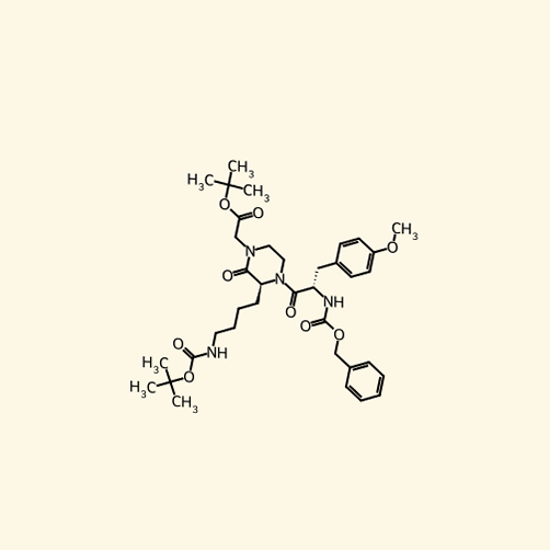 COc1ccc(C[C@H](NC(=O)OCc2ccccc2)C(=O)N2CCN(CC(=O)OC(C)(C)C)C(=O)[C@@H]2CCCCNC(=O)OC(C)(C)C)cc1